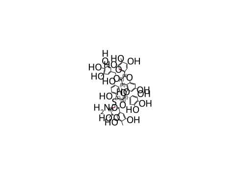 Cc1c(O)cc(C(=O)O[C@H]2[C@@H](c3cc(O)c(O)c(O)c3)Oc3c([C@H]4c5c(O)cc(O)cc5O[C@H](c5cc(O)c(O)c(O)c5)[C@@H]4OC(=O)c4cc(O)c(O)c(O)c4)c(O)cc(O)c3[C@@H]2SC[C@H](N)C(=O)O)cc1O